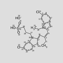 CCC(=Cc1sc2ccc(Cl)cc2[n+]1CC)C=C1Sc2ccc(Cl)cc2N1CCCS(=O)(=O)O.[OH-]